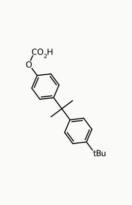 CC(C)(C)c1ccc(C(C)(C)c2ccc(OC(=O)O)cc2)cc1